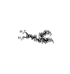 CCCCOc1cnc(-c2nc(C(=O)NC[C@H]3NC(=O)[C@H]3NC(=O)/C(=N\OC(C)(C)C(=O)OC(C)(C)C)c3csc(NC(=O)OC(C)(C)C)n3)cs2)cc1OCCCC